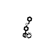 c1ccc(COc2ccc(C34CCC(CC3)N3CCSN=C34)cc2)cc1